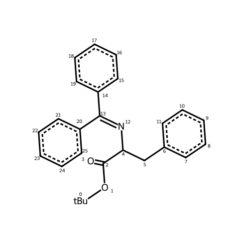 CC(C)(C)OC(=O)C(Cc1ccccc1)N=C(c1ccccc1)c1ccccc1